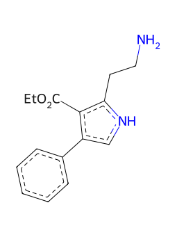 CCOC(=O)c1c(-c2ccccc2)c[nH]c1CCN